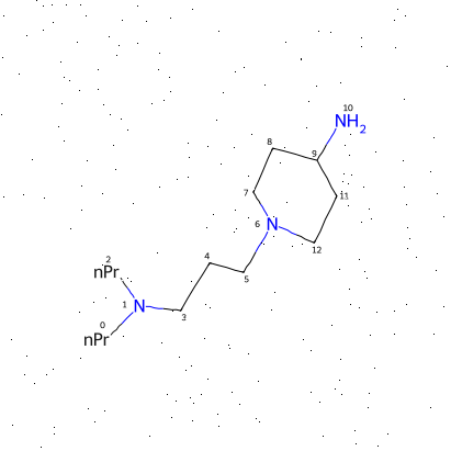 CCCN(CCC)CCCN1CCC(N)CC1